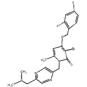 Cc1cc(OCc2ccc(F)cc2F)c(Br)c(=O)n1Cc1cnc(CN(C)C)cn1